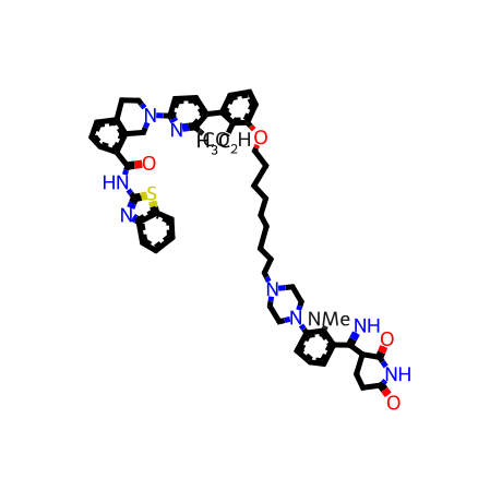 CNc1c(C(=N)C2CCC(=O)NC2=O)cccc1N1CCN(CCCCCCCCCOc2cccc(-c3ccc(N4CCc5cccc(C(=O)Nc6nc7ccccc7s6)c5C4)nc3C(=O)O)c2C)CC1